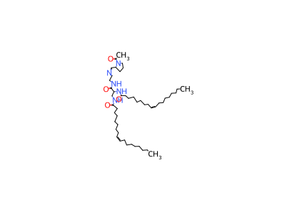 CCCCCCCC/C=C\CCCCCCCC(=O)NCC(NC(=O)CCCCCCC/C=C\CCCCCCCC)C(=O)NCC/N=C\C1CCCN1C(C)=O